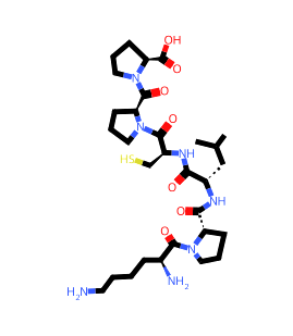 CC(C)C[C@H](NC(=O)[C@@H]1CCCN1C(=O)[C@@H](N)CCCCN)C(=O)N[C@@H](CS)C(=O)N1CCC[C@H]1C(=O)N1CCC[C@H]1C(=O)O